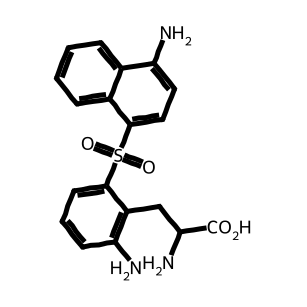 Nc1cccc(S(=O)(=O)c2ccc(N)c3ccccc23)c1CC(N)C(=O)O